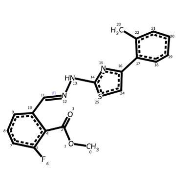 COC(=O)c1c(F)cccc1/C=N/Nc1nc(-c2ccccc2C)cs1